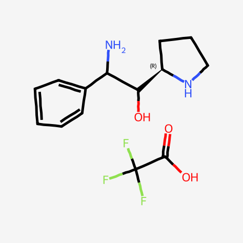 NC(c1ccccc1)C(O)[C@H]1CCCN1.O=C(O)C(F)(F)F